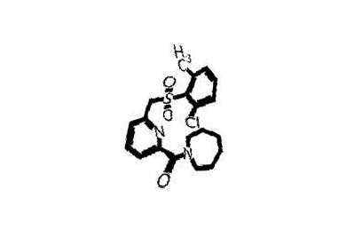 Cc1cccc(Cl)c1S(=O)(=O)Cc1cccc(C(=O)N2CCCCCC2)n1